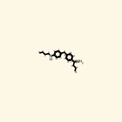 CCCCNc1ccc(Cc2ccc(C(N)CCC)cc2)cc1